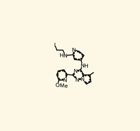 COc1cccc(-c2nc(Nc3ccnc(NCCI)c3)c3c(C)ccn3n2)n1